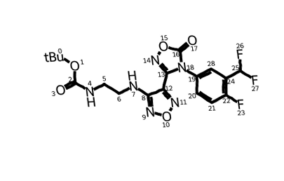 CC(C)(C)OC(=O)NCCNc1nonc1-c1noc(=O)n1-c1ccc(F)c(C(F)F)c1